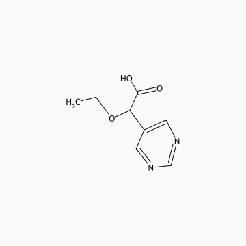 CCOC(C(=O)O)c1cncnc1